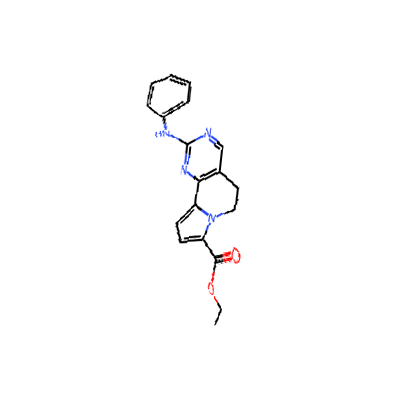 CCOC(=O)c1ccc2n1CCc1cnc(Nc3ccccc3)nc1-2